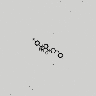 O=C(c1cccn2c(-c3ccc(F)cc3)nnc12)N1CCC(Cc2ccccc2)CC1